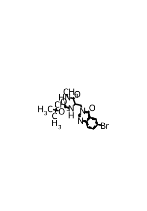 CNC(=O)C(Cn1cnc2ccc(Br)cc2c1=O)NC(=O)OC(C)(C)C